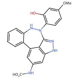 COc1ccc(N2Nc3ccccc3-c3cc(NC(=O)O)cc4[nH]nc2c34)c(O)c1